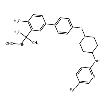 Cc1ccc(-c2ccc(SN3CCC(Nc4ccc(C(F)(F)F)cn4)CC3)cc2)cc1C(C)(C)NC=O